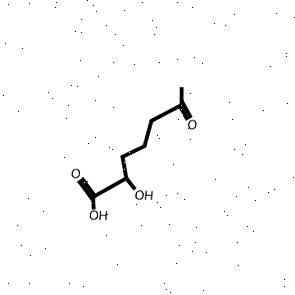 CC(=O)CCCC(O)C(=O)O